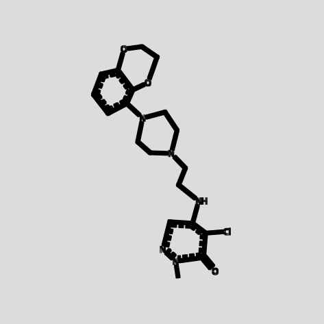 Cn1ncc(NCCN2CCN(c3cccc4c3OCCO4)CC2)c(Cl)c1=O